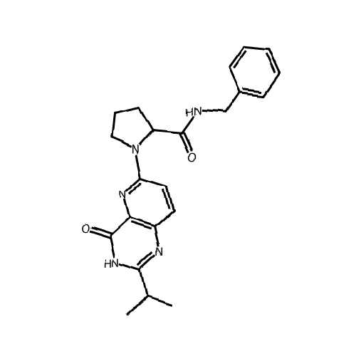 CC(C)c1nc2ccc(N3CCCC3C(=O)NCc3ccccc3)nc2c(=O)[nH]1